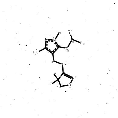 Cn1nc(C(F)(F)F)c(CSC2=NOCC2(C)C)c1OC(F)F